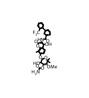 CO[C@@H]1[C@@H](OC(N)=O)[C@@H](O)[C@H](Oc2ccc3c(O)c(NC(=O)c4cccc(-c5ccccc5C(F)(F)F)c4)c(=O)oc3c2C)OC1(C)C